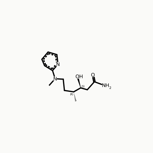 C[C@H](CCN(C)c1ccccn1)[C@@H](O)CC(N)=O